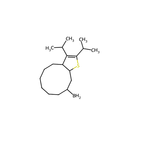 BC1CCCCCCC2C(C(C)C)=C(C(C)C)SC2C1